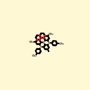 Cc1cc2c3c(c1)N(c1ccc(C(C)(C)C)cc1)c1cc(C(C)(C)C)cc(-c4ccccc4)c1B3c1c(-c3ccccc3)cc(C(C)(C)C)cc1N2C1=CCC(C(C)(C)C)C=C1